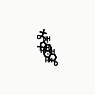 CC(C)(C)C(=O)NC1CC(C)(C)[C@H]2[C@@H]3CCC4NC(=O)CC[C@]4(C)[C@@H]3CC[C@]12C